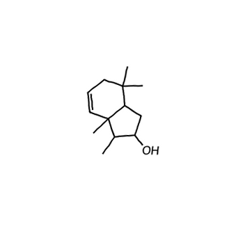 CC1C(O)CC2C(C)(C)CC=CC12C